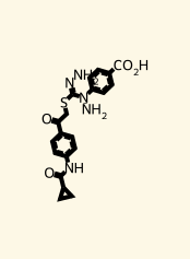 N/N=C(/SCC(=O)c1ccc(NC(=O)C2CC2)cc1)N(N)c1ccc(C(=O)O)cc1